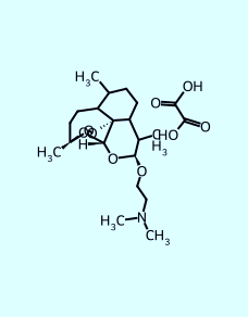 CC1CCC2C(C)[C@@H](OCCN(C)C)O[C@@H]3O[C@@]4(C)CCC1[C@@]23OO4.O=C(O)C(=O)O